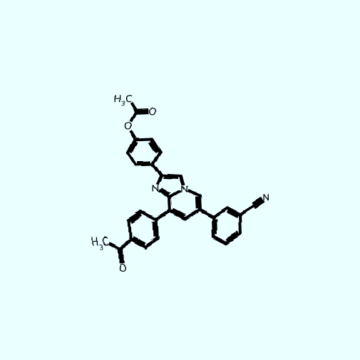 CC(=O)Oc1ccc(-c2cn3cc(-c4cccc(C#N)c4)cc(-c4ccc(C(C)=O)cc4)c3n2)cc1